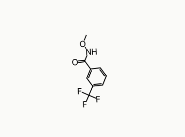 CONC(=O)c1cccc(C(F)(F)F)c1